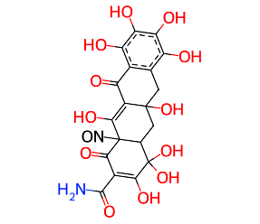 NC(=O)C1=C(O)C(O)(O)C2CC3(O)Cc4c(O)c(O)c(O)c(O)c4C(=O)C3=C(O)C2(N=O)C1=O